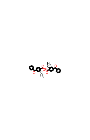 Cc1cc(C(=O)c2ccccc2)ccc1C(=O)OOC(=O)c1ccc(C(=O)c2ccccc2)cc1C